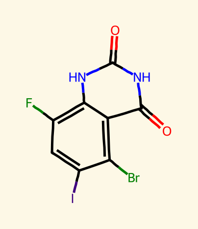 O=c1[nH]c(=O)c2c(Br)c(I)cc(F)c2[nH]1